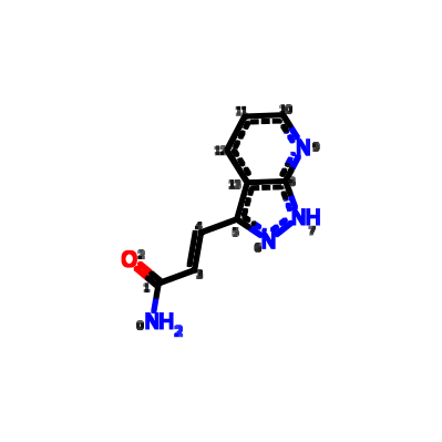 NC(=O)C=Cc1n[nH]c2ncccc12